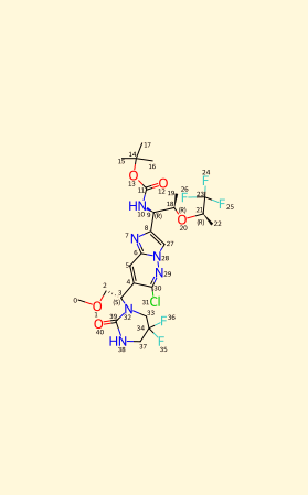 COC[C@H](c1cc2nc([C@@H](NC(=O)OC(C)(C)C)[C@@H](C)O[C@H](C)C(F)(F)F)cn2nc1Cl)N1CC(F)(F)CNC1=O